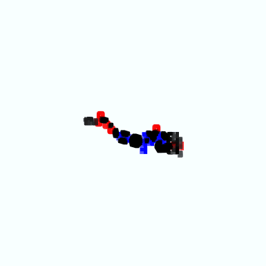 C=CCn1c(=O)c2cnc(Nc3ccc(N4CCN(CCOCOCC(=O)OC(C)(C)C)CC4)cc3)nc2n1-c1cccc(C(C)(C)O)n1